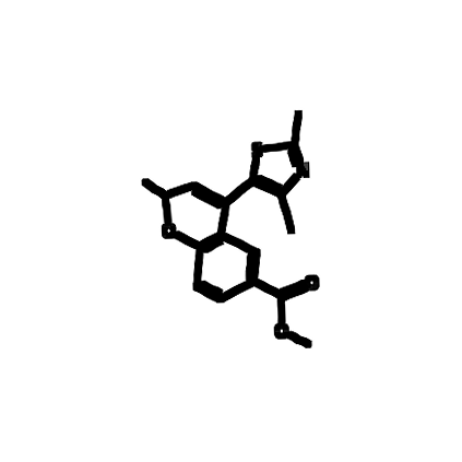 COC(=O)c1ccc2c(c1)C(c1sc(C)nc1C)=CC(C)O2